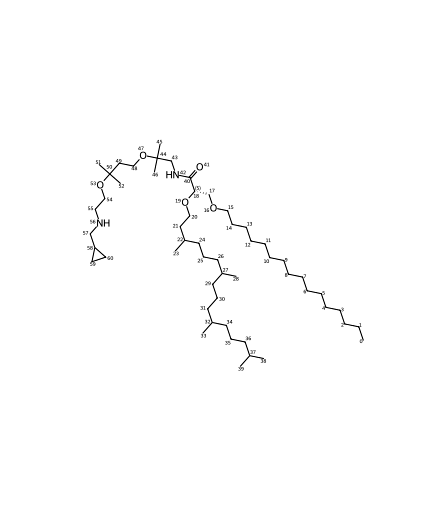 CCCCCCCCCCCCCCCCOC[C@H](OCCC(C)CCCC(C)CCCC(C)CCCC(C)C)C(=O)NCC(C)(C)OCCC(C)(C)OCCNCC1CC1